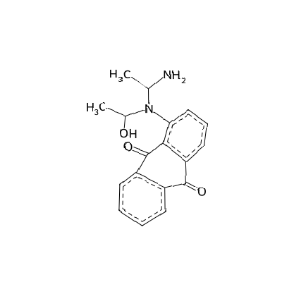 CC(N)N(c1cccc2c1C(=O)c1ccccc1C2=O)C(C)O